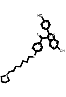 O=C(c1ccc(OCCCCCCCN2CCCC2)cc1)c1c(-c2ccc(O)cc2)sc2cc(O)ccc12